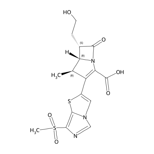 C[C@@H]1C(c2cn3cnc(S(C)(=O)=O)c3s2)=C(C(=O)O)N2C(=O)[C@@H](CCO)[C@@H]12